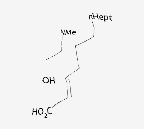 CCCCCCCCCCC=CC(=O)O.CNCCO